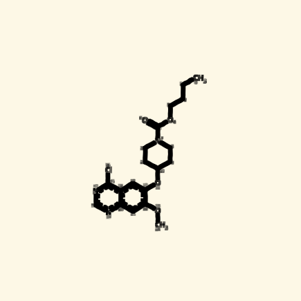 CCCCOC(=O)N1CCC(Oc2cc3c(Cl)ncnc3cc2OC)CC1